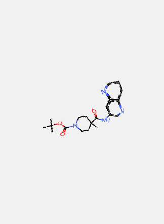 CC(C)(C)OC(=O)N1CCC(C)(C(=O)Nc2cnc3cccnc3c2)CC1